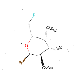 CC(=O)O[C@@H]1[C@@H](OC(C)=O)[C@@H](Br)O[C@H](CF)[C@@H]1OC(C)=O